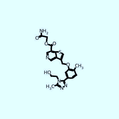 Cc1ccc(-c2nnc(C)n2CCO)cc1OCc1csc2c(C(=O)OCC(N)=O)cncc12